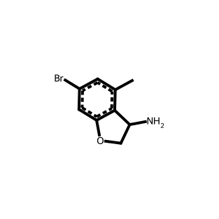 Cc1cc(Br)cc2c1C(N)CO2